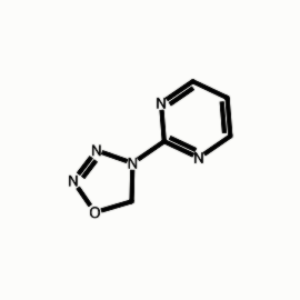 c1cnc(N2CON=N2)nc1